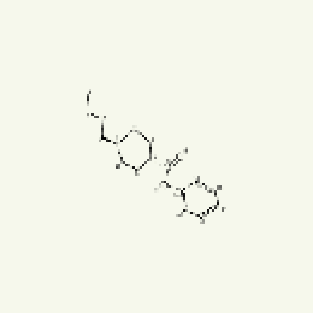 CCCC[C@H]1CC[C@H](C(=O)Oc2ccccc2)CC1